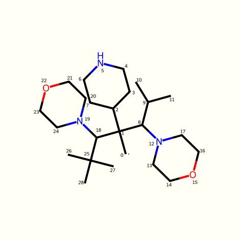 [CH2]C(C1CCNCC1)(C(C(C)C)N1CCOCC1)C(N1CCOCC1)C(C)(C)C